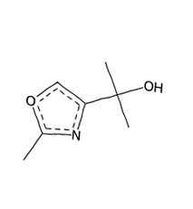 Cc1nc(C(C)(C)O)co1